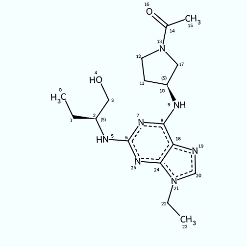 CC[C@@H](CO)Nc1nc(N[C@H]2CCN(C(C)=O)C2)c2ncn(CC)c2n1